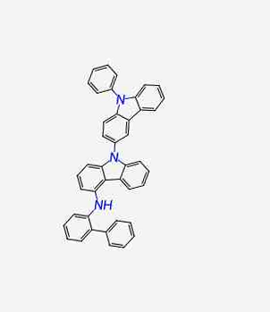 c1ccc(-c2ccccc2Nc2cccc3c2c2ccccc2n3-c2ccc3c(c2)c2ccccc2n3-c2ccccc2)cc1